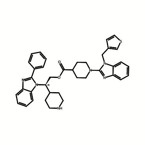 O=C(OC[C@@H](C1CCNCC1)n1c(-c2ccccc2)nc2ccccc21)C1CCN(c2nc3ccccc3n2Cc2ccsc2)CC1